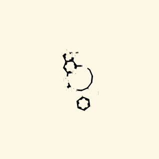 CCn1ncc2cc3nc(c21)OCCC[C@@H](O)[C@H](c1ccccc1)NC(=O)N3